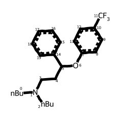 CCCCN(CCCC)CCC(Oc1ccc(C(F)(F)F)cc1)c1ccccc1